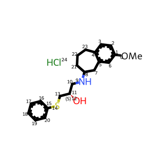 COc1ccc2c(c1)CC(NC[C@H](O)CSc1ccccc1)CCC2.Cl